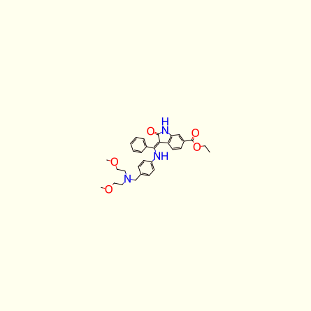 CCOC(=O)c1ccc2c(c1)NC(=O)C2=C(Nc1ccc(CN(CCOC)CCOC)cc1)c1ccccc1